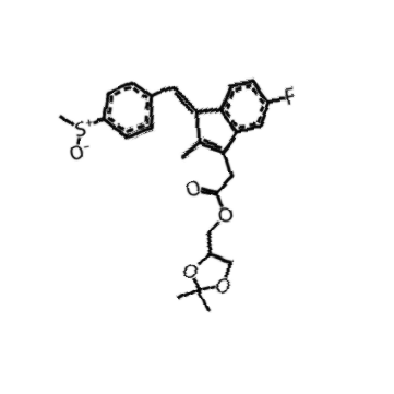 CC1=C(CC(=O)OCC2COC(C)(C)O2)c2cc(F)ccc2C1=Cc1ccc([S+](C)[O-])cc1